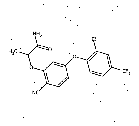 CC(Oc1cc(Oc2ccc(C(F)(F)F)cc2Cl)ccc1C#N)C(N)=O